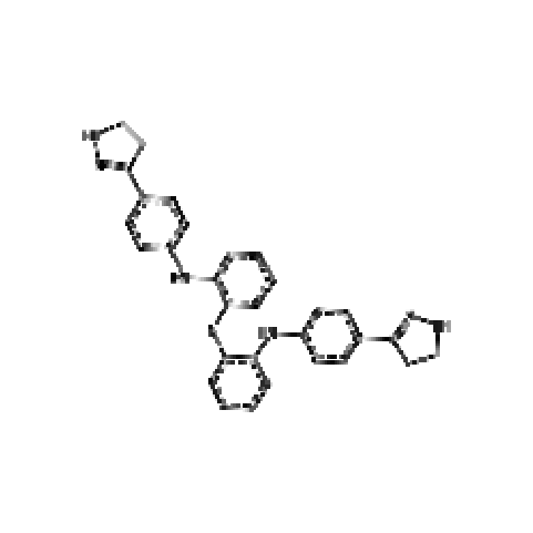 c1ccc(Sc2ccccc2Nc2ccc(C3=NNCC3)cc2)c(Nc2ccc(C3=NNCC3)cc2)c1